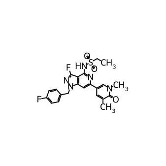 CCS(=O)(=O)Nc1nc(-c2cc(C)c(=O)n(C)c2)cc2c1c(F)nn2Cc1ccc(F)cc1